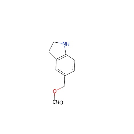 O=COCc1ccc2c(c1)CCN2